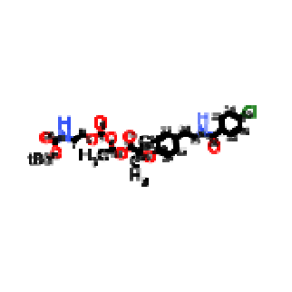 CC(OC(=O)OCCNC(=O)OC(C)(C)C)OC(=O)C(C)(C)Oc1ccc(CCNC(=O)c2ccc(Cl)cc2)cc1